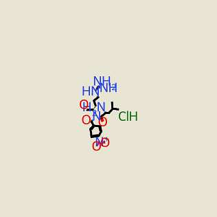 CC(C)C[C@H](N)C(=O)N(C(=O)c1ccc([N+](=O)[O-])cc1)[C@H](C=O)CCCNC(=N)N.Cl